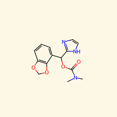 CN(C)C(=O)OC(c1ncc[nH]1)c1cccc2c1OCO2